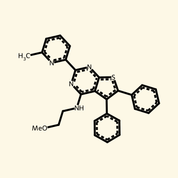 COCCNc1nc(-c2cccc(C)n2)nc2sc(-c3ccccc3)c(-c3ccccc3)c12